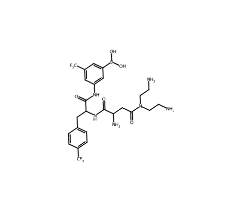 NCCN(CCN)C(=O)CC(N)C(=O)NC(Cc1ccc(C(F)(F)F)cc1)C(=O)Nc1cc(B(O)O)cc(C(F)(F)F)c1